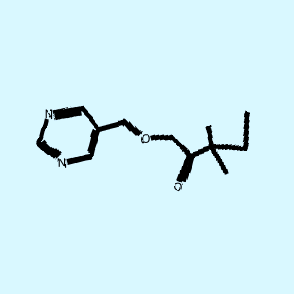 CCC(C)(C)C(=O)COCc1cncnc1